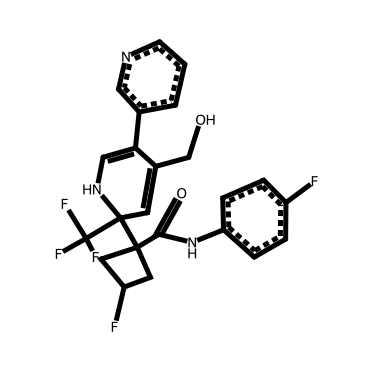 O=C(Nc1ccc(F)cc1)C1(C2(C(F)(F)F)C=C(CO)C(c3cccnc3)=CN2)CC(F)C1